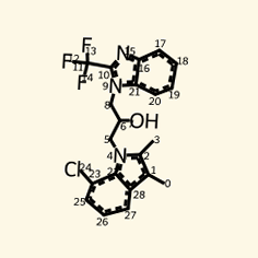 Cc1c(C)n(CC(O)Cn2c(C(F)(F)F)nc3ccccc32)c2c(Cl)cccc12